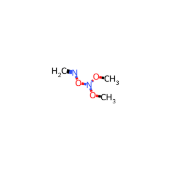 C=NON(OC)OC